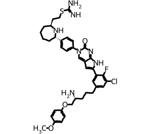 COc1ccc(OC[C@H](N)CCCc2cc(Cl)c(F)c(-c3cc4cn(-c5ccc([C@@H]6CCCC[C@@H](CCSC(=N)N)N6)cc5)c(=O)nc4[nH]3)c2)cc1